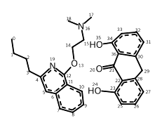 CCCCc1cc2ccccc2c(OCCN(C)C)n1.O=C1c2c(O)cccc2Cc2cccc(O)c21